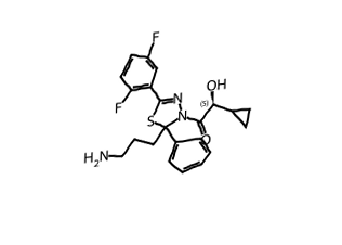 NCCCC1(c2ccccc2)SC(c2cc(F)ccc2F)=NN1C(=O)[C@@H](O)C1CC1